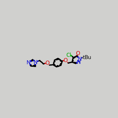 CC(C)(C)n1ncc(COc2ccc(COCCn3ccnc3)cc2)c(Cl)c1=O